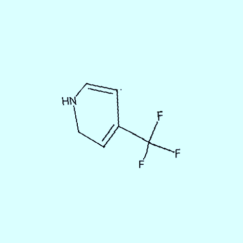 FC(F)(F)C1=CCNC=[C]1